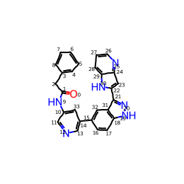 O=C(Cc1ccccc1)Nc1cncc(-c2ccc3[nH]nc(-c4cc5ncccc5[nH]4)c3c2)c1